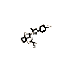 CC(CCc1ccc(O)cc1)NC(=O)C(OC(=O)C(Cl)Cl)c1ccccc1F